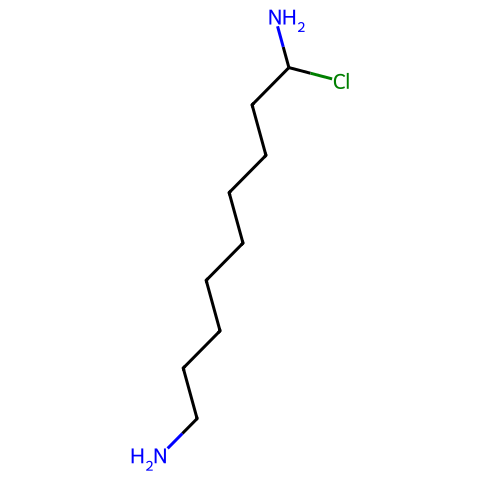 NCCCCCCCCC(N)Cl